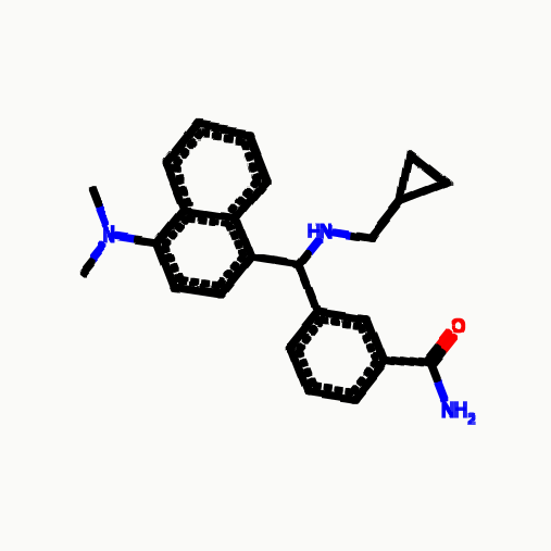 CN(C)c1ccc(C(NCC2CC2)c2cccc(C(N)=O)c2)c2ccccc12